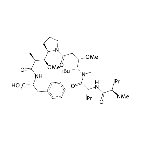 CC[C@@H](C)[C@H]([C@H](CC(=O)N1CCC[C@@H]1[C@@H](OC)[C@H](C)C(=O)N[C@H](Cc1ccccc1)C(=O)O)OC)N(C)C(=O)[C@H](NC(=O)[C@H](NC)C(C)C)C(C)C